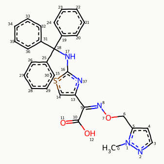 Cn1nccc1CON=C(C(=O)O)c1csc(NC(c2ccccc2)(c2ccccc2)c2ccccc2)n1